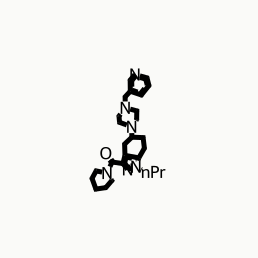 CCCn1nc(C(=O)N2CCCCC2)c2c1CCC(N1CCN(Cc3cccnc3)CC1)C2